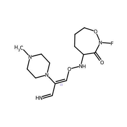 CN1CCN(/C(C=N)=C\ONC2CCCON(F)C2=O)CC1